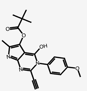 C#Cc1nc2nc(C)c(OC(=O)C(C)(C)C)c-2c(O)n1-c1ccc(OC)cc1